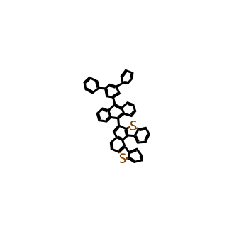 c1ccc(-c2cc(-c3ccccc3)cc(-c3c4ccccc4c(-c4cc5ccc6sc7ccccc7c6c5c5c4sc4ccccc45)c4ccccc34)c2)cc1